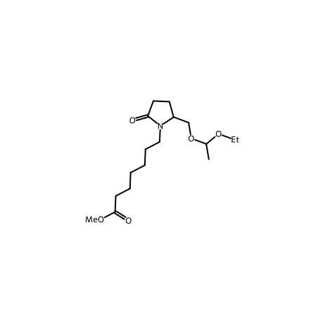 CCOC(C)OCC1CCC(=O)N1CCCCCCC(=O)OC